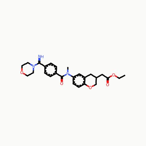 CCOC(=O)CC1COc2ccc(N(C)C(=O)c3ccc(C(=N)N4CCOCC4)cc3)cc2C1